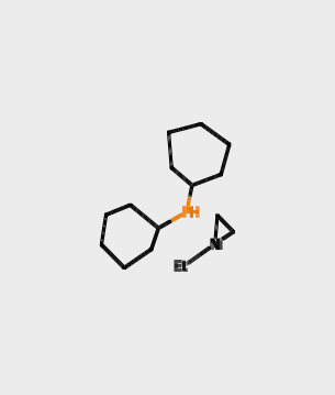 C1CCC(PC2CCCCC2)CC1.[CH2][CH2][Ni]1[CH2][CH2]1